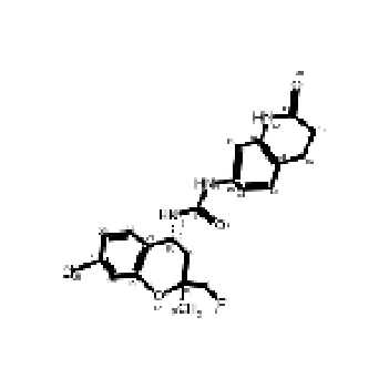 C[C@]1(CF)C[C@@H](NC(=O)Nc2ccc3c(c2)NC(=O)CC3)c2ccc(Cl)cc2O1